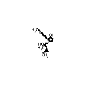 CCSCCCC[C@@H]1[C@@H](CCC(C)(O)C[C@@H]2C[C@@H]2CC)CC[C@@H]1O